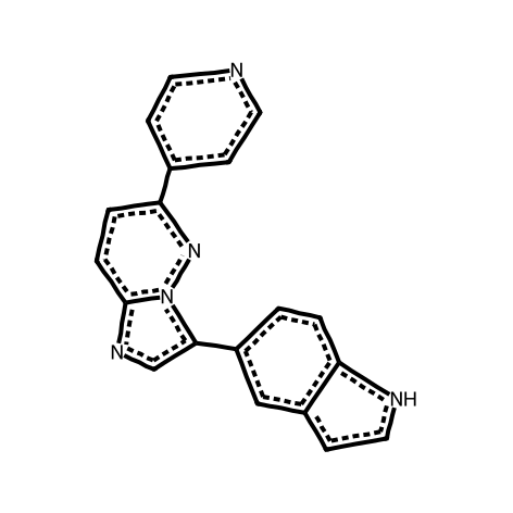 c1cc(-c2ccc3ncc(-c4ccc5[nH]ccc5c4)n3n2)ccn1